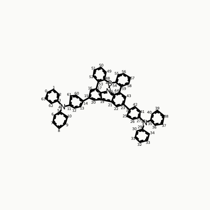 c1ccc(N(c2ccccc2)c2ccc(-c3cc4c5c(c3)c3cc(-c6ccc(N(c7ccccc7)c7ccccc7)cc6)cc6c3n5B(c3ccccc3-4)c3ccccc3-6)cc2)cc1